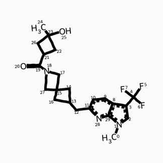 Cn1cc(C(F)(F)F)c2ccc(CC3CC4(C3)CN(C(=O)C3CC(C)(O)C3)C4)nc21